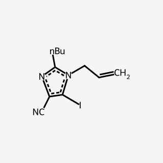 C=CCn1c(CCCC)nc(C#N)c1I